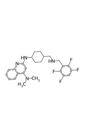 CN(C)c1cc(NC2CCC(CNCc3c(F)c(F)cc(F)c3F)CC2)nc2ccccc12